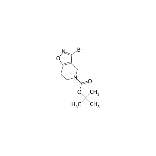 CC(C)(C)OC(=O)N1CCc2onc(Br)c2C1